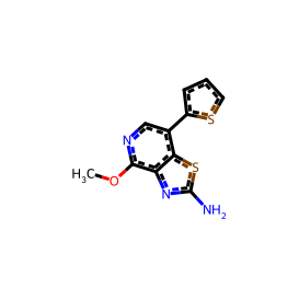 COc1ncc(-c2cccs2)c2sc(N)nc12